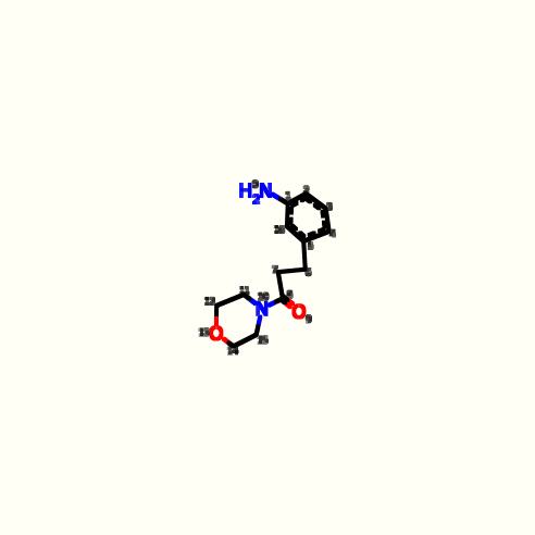 Nc1cccc(CCC(=O)N2CCOCC2)c1